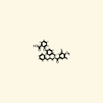 COc1c(C)cc(C(=O)N(CCCc2ccccc2)Cc2ccc(Oc3ccccc3C(=O)O)cc2)cc1C